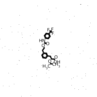 CC(C)OC(Cc1cccc(CCOC(=O)Nc2ccc(C(F)(F)F)cc2)c1)C(=O)O